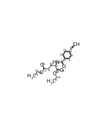 C#Cc1ccc(C(=O)N[C@H](CCC(=O)OCC)C(=O)OCC)cc1